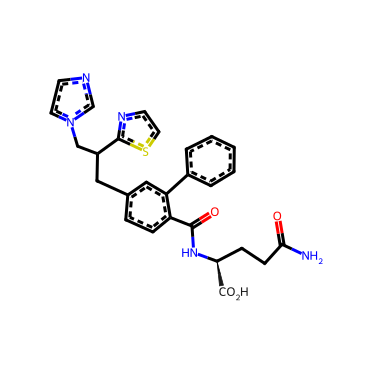 NC(=O)CC[C@H](NC(=O)c1ccc(CC(Cn2ccnc2)c2nccs2)cc1-c1ccccc1)C(=O)O